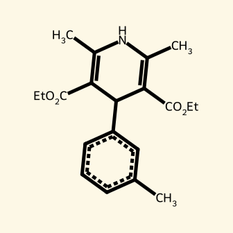 CCOC(=O)C1=C(C)NC(C)=C(C(=O)OCC)C1c1cccc(C)c1